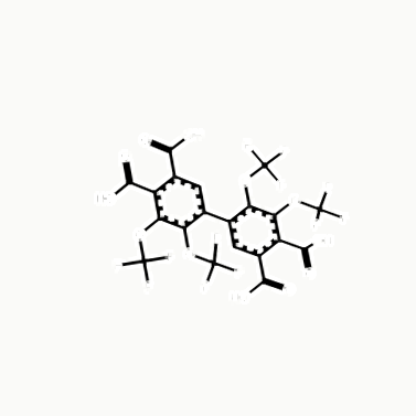 O=C(O)c1cc(-c2cc(C(=O)O)c(C(=O)O)c(OC(F)(F)F)c2OC(F)(F)F)c(OC(F)(F)F)c(OC(F)(F)F)c1C(=O)O